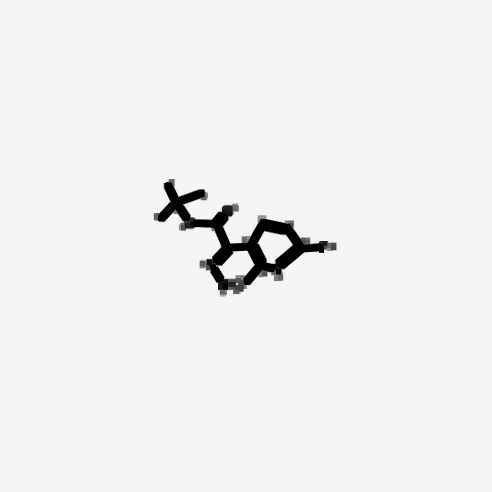 CC(C)(C)OC(=O)/C(=N/N)c1ccc(F)nc1F